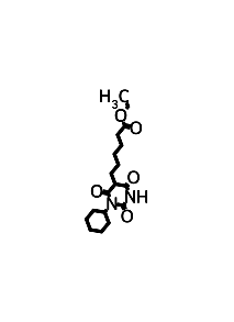 CCOC(=O)CCCCCC1C(=O)NC(=O)N(C2CCCCC2)C1=O